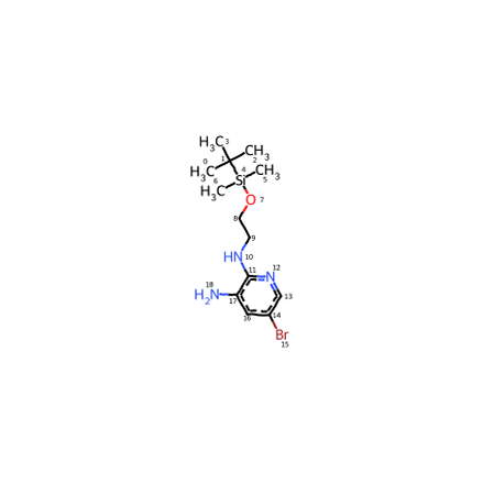 CC(C)(C)[Si](C)(C)OCCNc1ncc(Br)cc1N